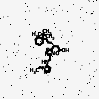 CCn1nccc1NCc1noc([C@H](CCCC2(C(C)(C)C)CCCCC2)CC(=O)O)n1